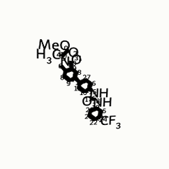 COC(=O)[C@H](C)N1Cc2ccc(-c3ccc(NC(=O)Nc4cccc(C(F)(F)F)c4)cc3)cc2C1=O